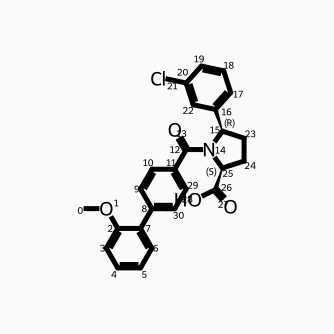 COc1ccccc1-c1ccc(C(=O)N2[C@@H](c3cccc(Cl)c3)CC[C@H]2C(=O)O)cc1